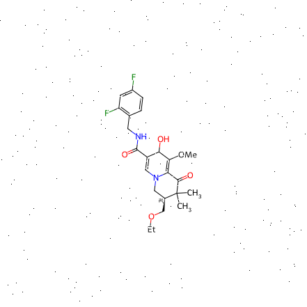 CCOC[C@H]1CN2C=C(C(=O)NCc3ccc(F)cc3F)C(O)C(OC)=C2C(=O)C1(C)C